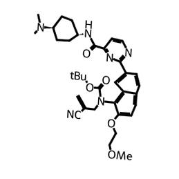 C=C(C#N)CN(C(=O)OC(C)(C)C)c1c(OCCOC)ccc2ccc(-c3nccc(C(=O)N[C@H]4CC[C@H](N(C)C)CC4)n3)cc12